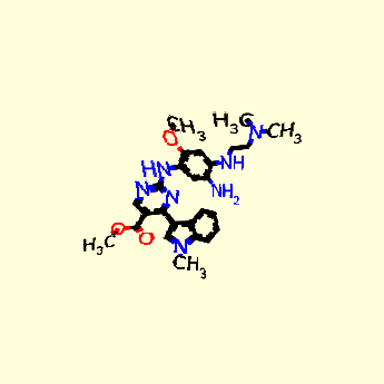 COC(=O)c1cnc(Nc2cc(N)c(NCCN(C)C)cc2OC)nc1-c1cn(C)c2ccccc12